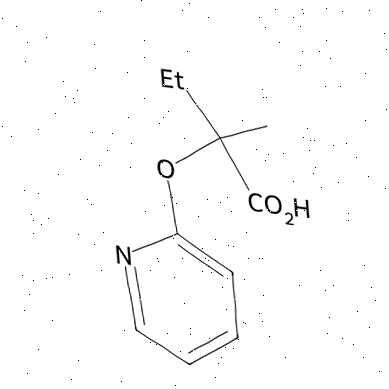 CCC(C)(Oc1ccccn1)C(=O)O